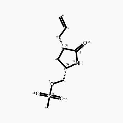 C=CC[C@H]1C[C@@H](COS(C)(=O)=O)NC1=O